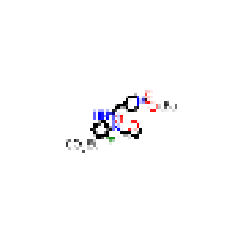 CCOC(=O)c1ccc(NC(=O)CC2CCN(C(=O)OC(C)(C)C)CC2)c(NC[C@@H]2CCO2)c1F